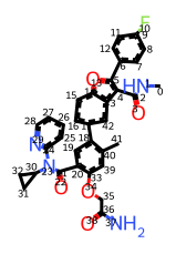 CNC(=O)c1c(-c2ccc(F)cc2)oc2ccc(-c3cc(C(=O)N(c4ccccn4)C4CC4)c(OCC(N)=O)cc3C)cc12